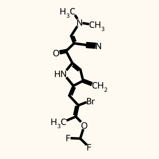 C=c1cc(C(=O)/C(C#N)=C/N(C)C)[nH]/c1=C/C(Br)=C(\C)OC(F)F